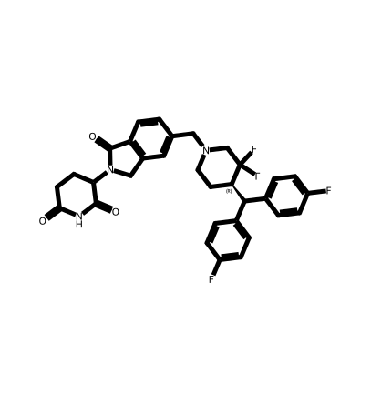 O=C1CCC(N2Cc3cc(CN4CC[C@H](C(c5ccc(F)cc5)c5ccc(F)cc5)C(F)(F)C4)ccc3C2=O)C(=O)N1